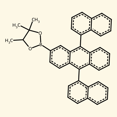 CC1OB(c2ccc3c(-c4cccc5ccccc45)c4ccccc4c(-c4cccc5ccccc45)c3c2)OC1(C)C